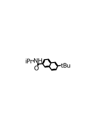 CC(C)NC(=O)c1ccc2cc(C(C)(C)C)ccc2c1